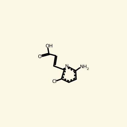 Nc1ccc(Cl)c(C=CC(=O)O)n1